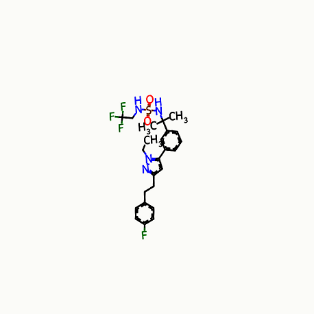 CCn1nc(CCc2ccc(F)cc2)cc1-c1cccc(C(C)(C)NS(=O)(=O)NCC(F)(F)F)c1